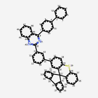 c1ccc(-c2ccc(-c3nc(-c4cccc(-c5ccc6c(c5)C5(c7ccccc7S6)c6ccccc6-c6ccccc65)c4)nc4ccccc34)cc2)cc1